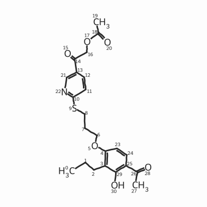 CCCc1c(OCCCSc2ccc(C(=O)COC(C)=O)cn2)ccc(C(C)=O)c1O